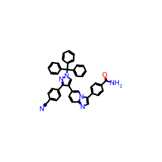 N#Cc1ccc(-c2nn(C(c3ccccc3)(c3ccccc3)c3ccccc3)cc2-c2ccc3ncc(-c4ccc(C(N)=O)cc4)n3c2)cc1